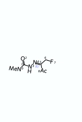 CNC(=O)N/N=C(/CF)C(C)=O